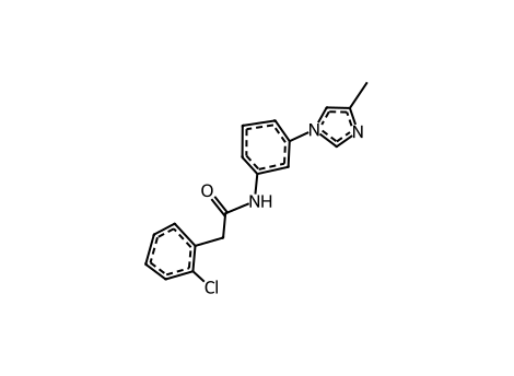 Cc1cn(-c2cccc(NC(=O)Cc3ccccc3Cl)c2)cn1